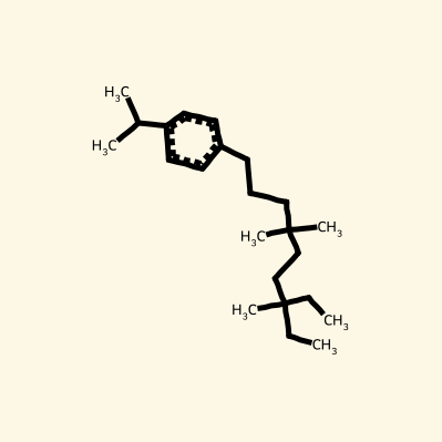 CCC(C)(CC)CCC(C)(C)CCCc1ccc(C(C)C)cc1